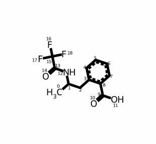 CC(Cc1ccccc1C(=O)O)NC(=O)C(F)(F)F